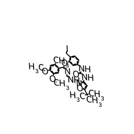 COc1cc(C)c(/C(=N\C=N)Oc2cc(NC(=O)Nc3cc(C(C)(C)C)on3)ccc2CI)cc1OC